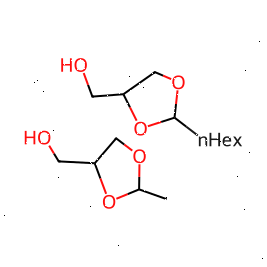 CC1OCC(CO)O1.CCCCCCC1OCC(CO)O1